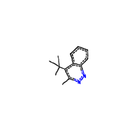 Cc1nnc2ccccc2c1C(C)(C)C